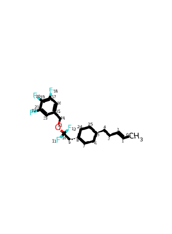 C/C=C/CC[C@H]1CC[C@H](CC(F)(F)OCc2cc(F)c(F)c(F)c2)CC1